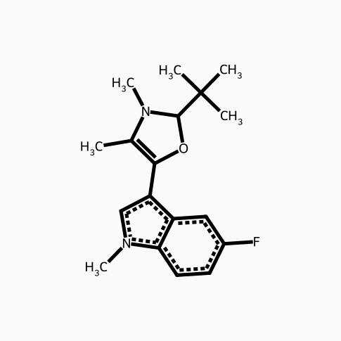 CC1=C(c2cn(C)c3ccc(F)cc23)OC(C(C)(C)C)N1C